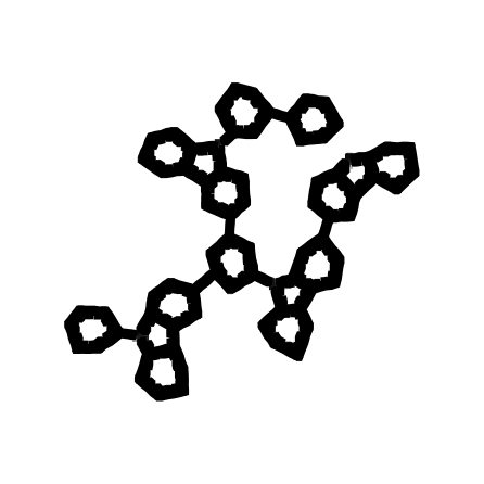 c1ccc(-c2cccc(-n3c4ccccc4c4cc(-c5cc(-c6ccc7c(c6)c6ccccc6n7-c6ccccc6)cc(-n6c7ccccc7c7ccc(-c8ccc9sc%10ccccc%10c9c8)cc76)c5)ccc43)c2)cc1